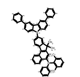 Cc1cccc(C)c1N(c1ccccc1)c1cc2c(c3ccccc13)-c1ccc(-n3c4ccc(-c5ccccc5)cc4c4cc(-c5ccccc5)ccc43)cc1C2(C)C